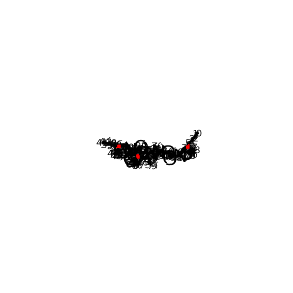 CCCCCCCCC(CN(C)CCC(=O)OCCN1CC(C)N(CCOC(=O)CCN(CC(CCCCCCCC)O[Si](C)(C)C(C)(C)C)CC(CCCCCCCC)O[Si](C)(C)C(C)(C)C)CC1C)O[Si](C)(C)C(C)(C)C